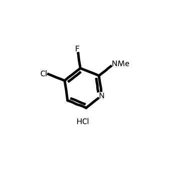 CNc1nccc(Cl)c1F.Cl